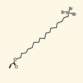 C=CC(=O)OCCCCCCCCCCCCCCCCC[Si](Br)(Br)Br